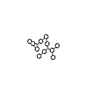 c1ccc(-c2ccc(N(c3ccc(-c4ccccc4-c4ccc(-n5c6ccccc6c6cc7ccccc7cc65)cc4)cc3)c3cc(-c4ccccc4)cc(-c4ccccc4)c3)cc2)cc1